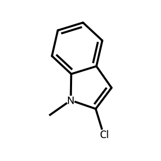 Cn1c(Cl)cc2ccccc21